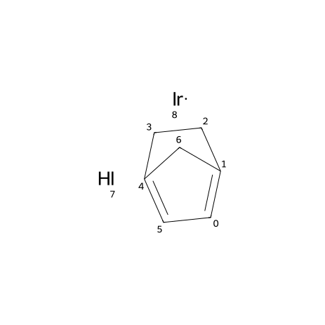 C1=C2CCC(=C1)C2.I.[Ir]